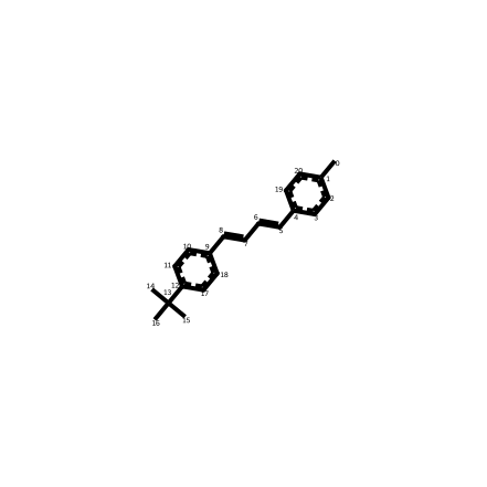 Cc1ccc(C=CC=Cc2ccc(C(C)(C)C)cc2)cc1